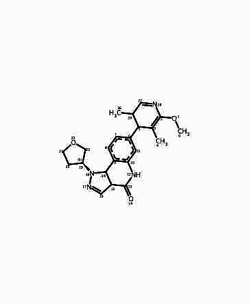 COC1=C(C)C(c2ccc3c(c2)NC(=O)C2C=NN([C@H]4CCOC4)C32)C(C)C=N1